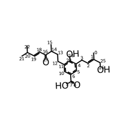 C/C(=C\Cc1cc(C(=O)O)cc(CCC(C)C(=O)/C=C/C(C)C)c1O)CO